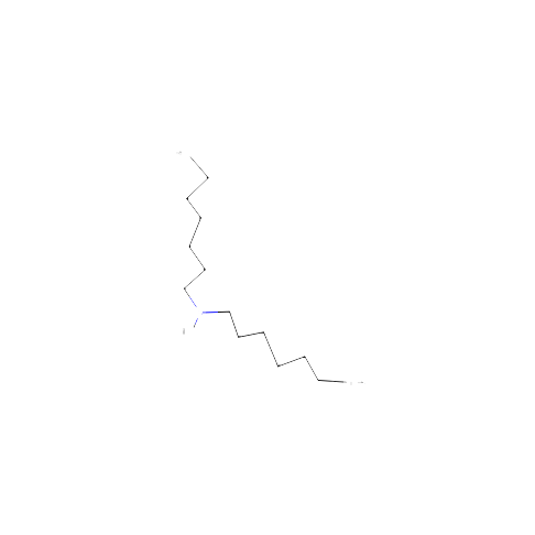 CCCCCCCCCCCCCCCCN(CCCCCCCCCCCCCCCC)C(C)C